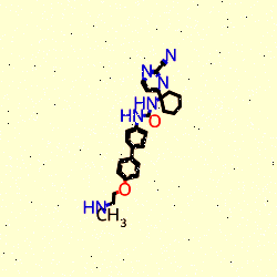 CNCCOc1ccc(-c2ccc(NC(=O)NC3(c4ccnc(C#N)n4)CCCCC3)cc2)cc1